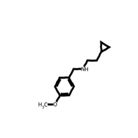 COc1ccc(CNCCC2CC2)cc1